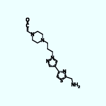 NCc1nc(-c2cnn(CCCN3CCN(C=C=O)CC3)c2)cs1